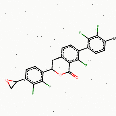 CCc1ccc(-c2ccc3c(c2F)C(=O)OC(c2ccc(C4CO4)c(F)c2F)C3)c(F)c1F